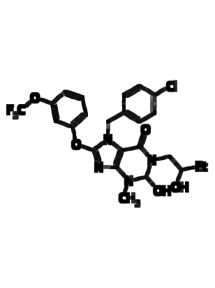 CCC(O)CN1C(=O)c2c(nc(Oc3cccc(OC(F)(F)F)c3)n2Cc2ccc(Cl)cc2)N(C)C1O